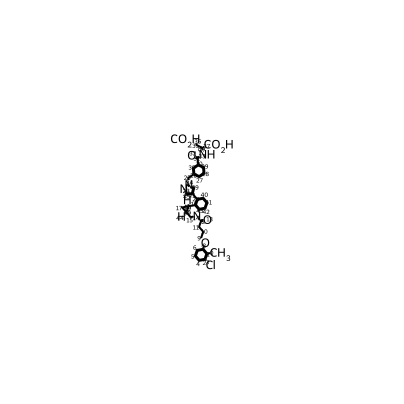 Cc1c(Cl)cccc1OCCCC(=O)N1C[C@@H]2C[C@@H]2c2c(-c3cnn(Cc4cccc(C(=O)N[C@@H](CC(=O)O)C(=O)O)c4)c3)cccc21